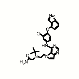 CC(C)(C)N(CCn1ccc2ncnc(Nc3ccc(Oc4cccc5sncc45)c(Cl)c3)c21)CC(N)=O